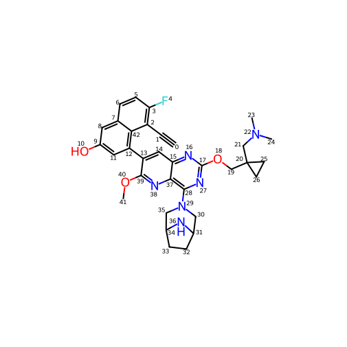 C#Cc1c(F)ccc2cc(O)cc(-c3cc4nc(OCC5(CN(C)C)CC5)nc(N5CC6CCC(C5)N6)c4nc3OC)c12